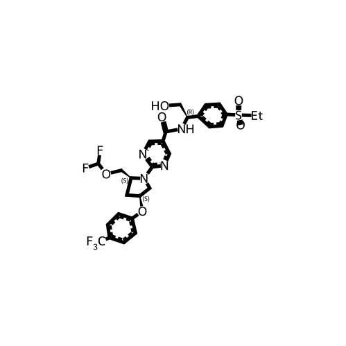 CCS(=O)(=O)c1ccc([C@H](CO)NC(=O)c2cnc(N3C[C@@H](Oc4ccc(C(F)(F)F)cc4)C[C@H]3COC(F)F)nc2)cc1